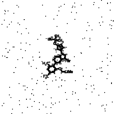 COCOc1cc(C(F)(F)F)cc(C)c1-c1cc2c(Br)cn(C34CCC(O[Si](C)(C)C(C)(C)C)(C3)C4)c2nn1